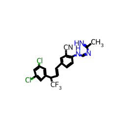 CC(=N)/N=C\Nc1ccc(/C=C/C(c2cc(Cl)cc(Cl)c2)C(F)(F)F)cc1C#N